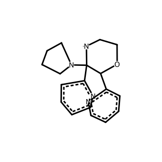 c1ccc(C2OCC[N]C2(c2ccccn2)N2CCCC2)nc1